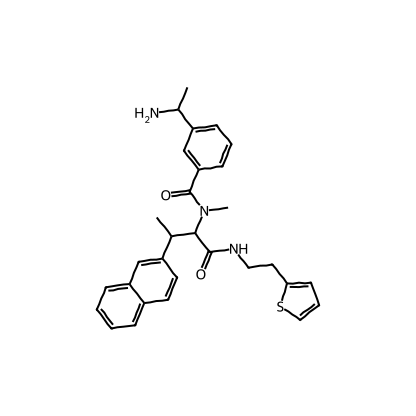 CC(N)c1cccc(C(=O)N(C)C(C(=O)NCCc2cccs2)C(C)c2ccc3ccccc3c2)c1